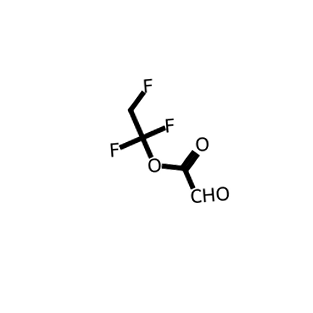 O=CC(=O)OC(F)(F)CF